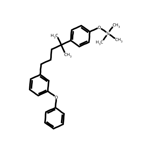 CC(C)(CCCc1cccc(Oc2ccccc2)c1)c1ccc(O[Si](C)(C)C)cc1